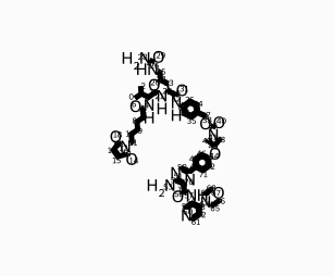 CC(C)[C@H](NC(=O)CCCCCN1C(=O)C=CC1=O)C(=O)N[C@@H](CCCNC(N)=O)C(=O)Nc1ccc(COC(=O)N2CC(Oc3ccc(-c4cnc(N)c(C(=O)Nc5cnccc5N5CCOCC5)n4)cc3)C2)cc1